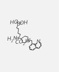 NC(CCCCB(O)O)(C(=O)O)C1CCN(Cc2cccc3cccnc23)CC1